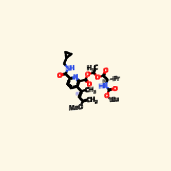 C=C(/C=C(\C)c1ccc(C(=O)NCC2CC2)nc1C(=O)OC(C)OC(=O)[C@@H](NC(=O)OC(C)(C)C)C(C)C)OC